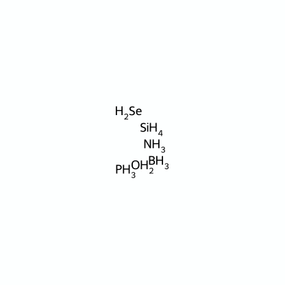 B.N.O.P.[SeH2].[SiH4]